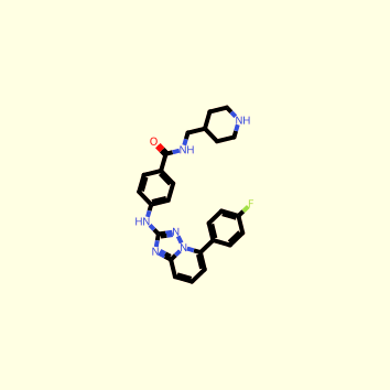 O=C(NCC1CCNCC1)c1ccc(Nc2nc3cccc(-c4ccc(F)cc4)n3n2)cc1